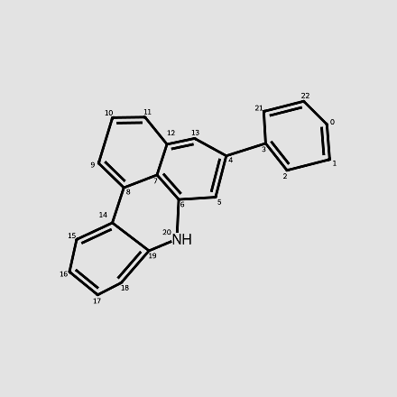 c1ccc(-c2cc3c4c(cccc4c2)-c2ccccc2N3)cc1